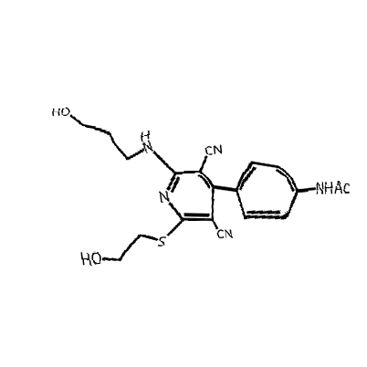 CC(=O)Nc1ccc(-c2c(C#N)c(NCCCO)nc(SCCO)c2C#N)cc1